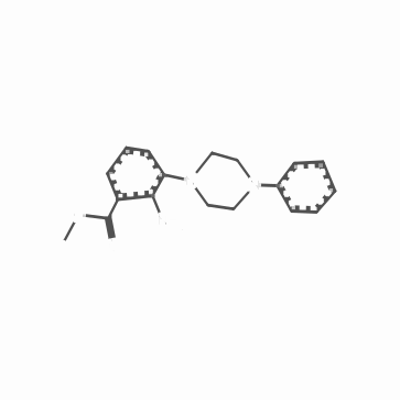 COC(=O)c1cccc(N2CCN(c3ccccc3)CC2)c1N